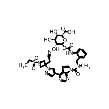 CCS(=O)(=O)N1CC(CC#N)(n2cc(-c3ncnc4c3ccn4C(=O)N(C)Cc3ccccc3NC(=O)O[C@@H]3O[C@H](C(=O)O)[C@@H](O)[C@H](O)[C@H]3O)cn2)C1